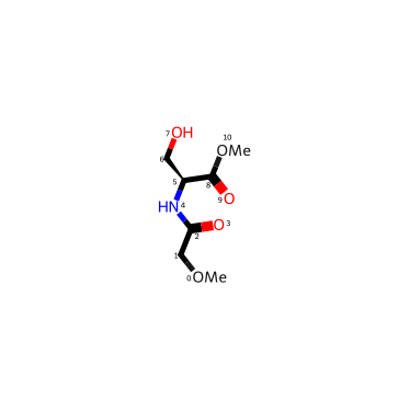 COCC(=O)N[C@@H](CO)C(=O)OC